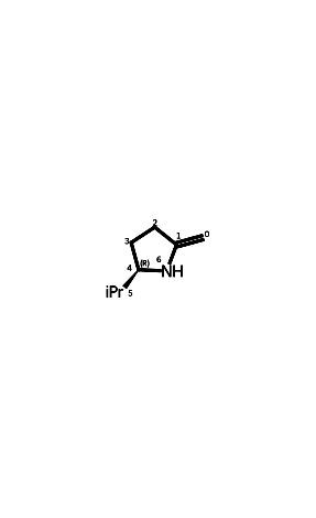 C=C1CC[C@H](C(C)C)N1